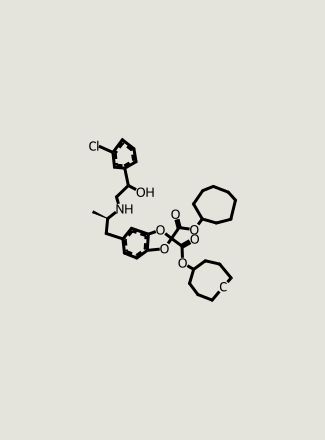 C[C@H](Cc1ccc2c(c1)OC(C(=O)OC1CCCCCCC1)(C(=O)OC1CCCCCCC1)O2)NCC(O)c1cccc(Cl)c1